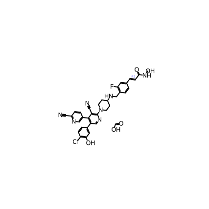 N#Cc1ccc(-c2c(-c3ccc(Cl)c(O)c3)cnc(N3CCC(NCc4ccc(/C=C/C(=O)NO)cc4F)CC3)c2C#N)cn1.O=CO